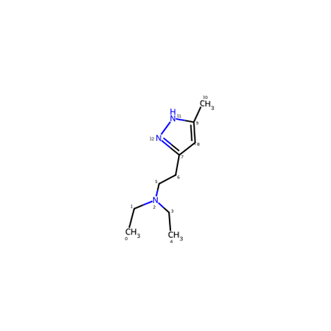 CCN(CC)CCc1[c]c(C)[nH]n1